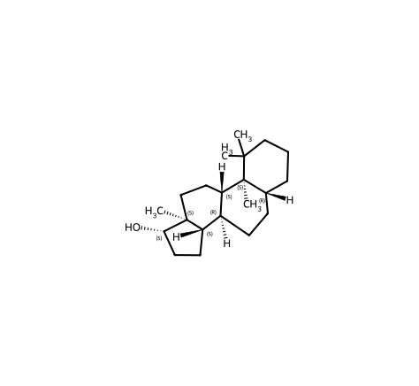 CC1(C)CCC[C@@H]2CC[C@H]3[C@@H]4CC[C@H](O)[C@@]4(C)CC[C@@H]3[C@]21C